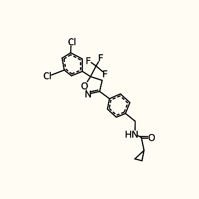 O=C(NCc1ccc(C2=NOC(c3cc(Cl)cc(Cl)c3)(C(F)(F)F)C2)cc1)C1CC1